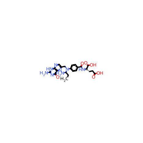 [CH2]CC(N)N(Cc1cnc2[nH]c(N)nc(=O)c2n1)c1ccc(C(=O)N[C@@H](CCC(=O)O)C(=O)O)cc1